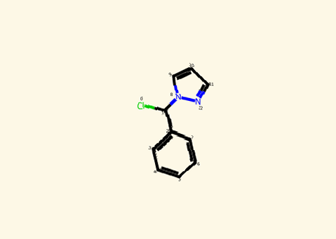 ClC(c1ccccc1)n1cc[c]n1